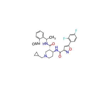 COc1ccccc1C(C)NC(=O)[C@H]1CN(CC2CC2)CC[C@@H]1NC(=O)c1cc(-c2ccc(F)cc2F)on1